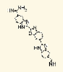 N=Cc1ccc2[nH]c(-c3ccc4nc(-c5nc6cc(C(=N)N)ccc6[nH]5)oc4c3)nc2c1